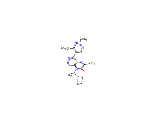 COc1ncc(-c2nccc3c2nc(C)c(=O)n3[C@H](C)C2CCC2)c(OC)n1